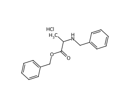 CC(NCc1ccccc1)C(=O)OCc1ccccc1.Cl